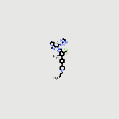 C=C(Nc1ncc[nH]1)C(c1ncn2c1CCC2)n1cc2c(C(F)(F)F)cc(-c3ccc(C4CCN(CCCC)CC4)cc3)c(C)c2n1